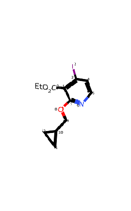 CCOC(=O)c1c(I)ccnc1OCC1CC1